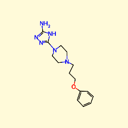 Nc1nnc(N2CCN(CCCOc3ccccc3)CC2)[nH]1